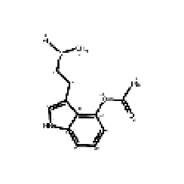 CCN(C)CCc1c[nH]c2cccc(OC(=O)C(C)(C)C)c12